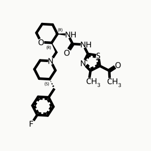 CC(=O)c1sc(NC(=O)N[C@@H]2CCCO[C@@H]2CN2CCC[C@@H](Cc3ccc(F)cc3)C2)nc1C